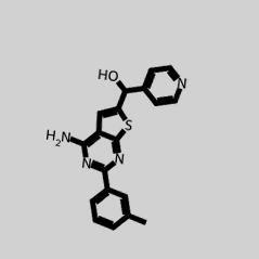 Cc1cccc(-c2nc(N)c3cc(C(O)c4ccncc4)sc3n2)c1